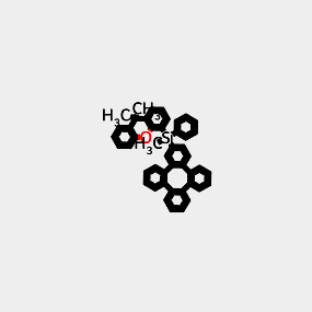 CC1(C)c2ccccc2Oc2c1cccc2[Si](C)(c1ccccc1)c1ccc2c(c1)-c1ccccc1-c1ccccc1-c1ccccc1-2